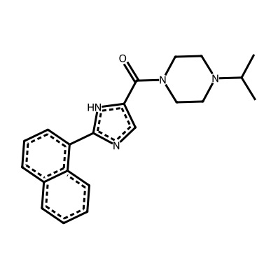 CC(C)N1CCN(C(=O)c2cnc(-c3cccc4ccccc34)[nH]2)CC1